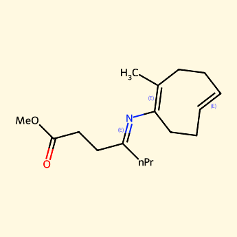 CCC/C(CCC(=O)OC)=N\C1=C(/C)CC/C=C/CC1